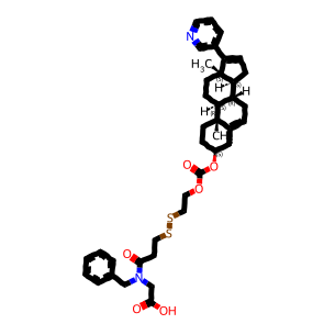 C[C@]12CC[C@H](OC(=O)OCCSSCCC(=O)N(CC(=O)O)Cc3ccccc3)CC1=CC[C@@H]1[C@@H]2CC[C@]2(C)C(c3cccnc3)=CC[C@@H]12